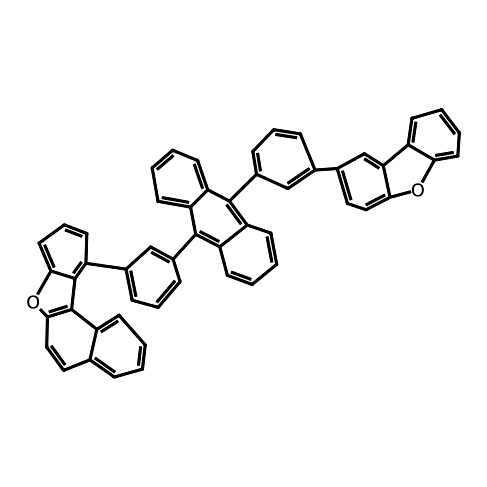 c1cc(-c2ccc3oc4ccccc4c3c2)cc(-c2c3ccccc3c(-c3cccc(-c4cccc5oc6ccc7ccccc7c6c45)c3)c3ccccc23)c1